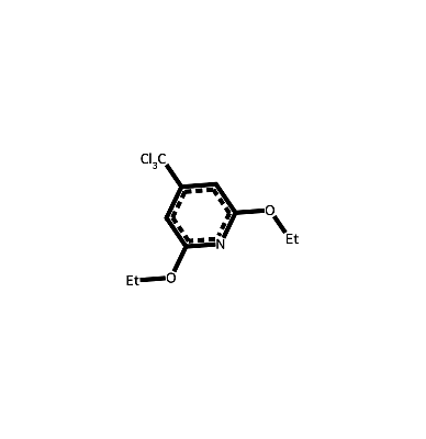 CCOc1cc(C(Cl)(Cl)Cl)cc(OCC)n1